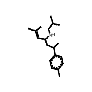 CC(C)=CC(CC(C)c1ccc(C)cc1)NCC(C)C